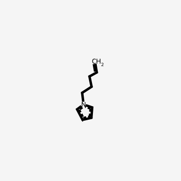 C=CCCCn1c[c]cc1